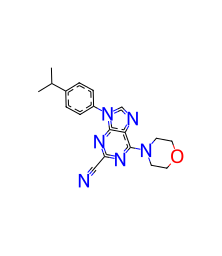 CC(C)c1ccc(-n2cnc3c(N4CCOCC4)nc(C#N)nc32)cc1